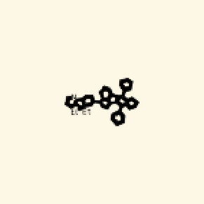 CCC1(CC)c2cc(-c3ccc4c5c(cccc35)-c3c-4c(-c4ccccc4)c4ccccc4c3-c3ccccc3)ccc2-c2ncccc21